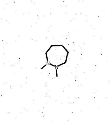 CN1CCCCCN1C